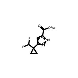 COC(=O)c1cc(C2(C(F)F)CC2)n[nH]1